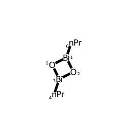 CC[CH2][Bi]1[O][Bi]([CH2]CC)[O]1